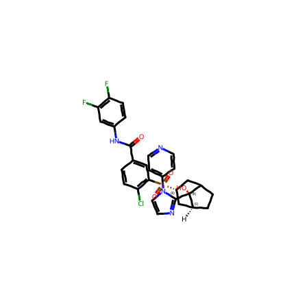 O=C(Nc1ccc(F)c(F)c1)c1ccc(Cl)c(S(=O)(=O)[C@@H]2CC3CC[C@@H](C2)[C@@]3(O)c2nccn2-c2ccncc2)c1